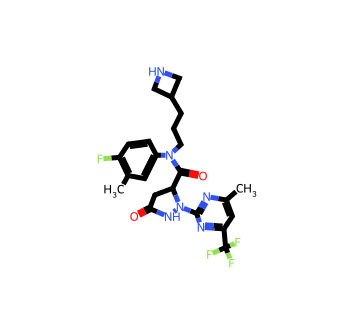 Cc1cc(C(F)(F)F)nc(N2NC(=O)CC2C(=O)N(CCCC2CNC2)c2ccc(F)c(C)c2)n1